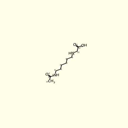 CC(=O)NCCCCCCNCC(=O)O